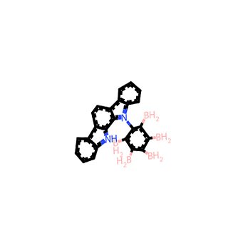 Bc1c(B)c(B)c(-n2c3ccccc3c3ccc4c5ccccc5[nH]c4c32)c(B)c1B